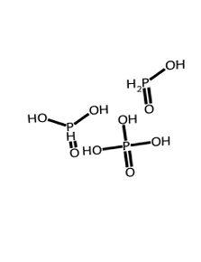 O=P(O)(O)O.O=[PH2]O.O=[PH](O)O